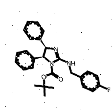 CC(C)(C)OC(=O)N1C(NCc2ccc(F)cc2)=N[C@H](c2ccccc2)[C@@H]1c1ccccc1